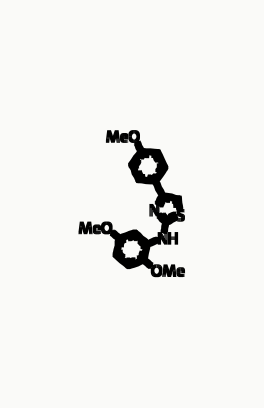 COc1ccc(-c2csc(Nc3cc(OC)ccc3OC)n2)cc1